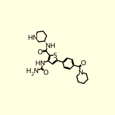 NC(=O)Nc1cc(-c2ccc(C(=O)N3CCCCC3)cc2)sc1C(=O)N[C@H]1CCCNC1